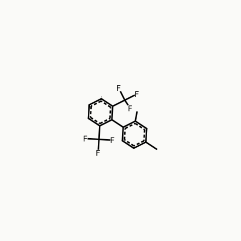 Cc1ccc(-c2c(C(F)(F)F)[c]ccc2C(F)(F)F)c(C)c1